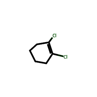 ClC1=C(Cl)CCCC1